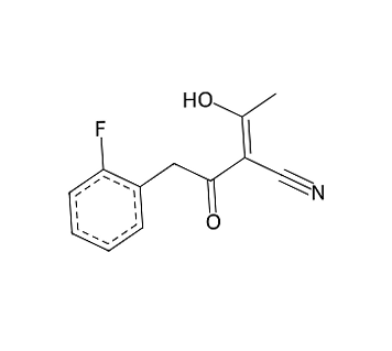 CC(O)=C(C#N)C(=O)Cc1ccccc1F